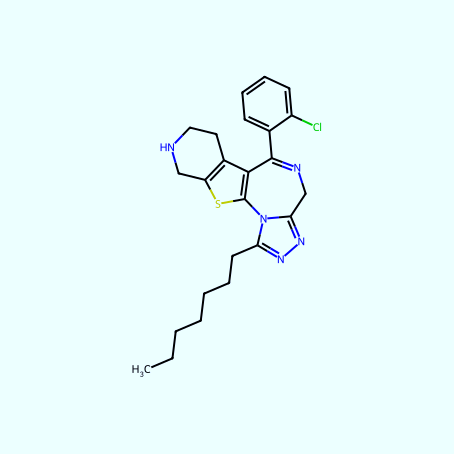 CCCCCCCc1nnc2n1-c1sc3c(c1C(c1ccccc1Cl)=NC2)CCNC3